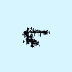 C[C@@H](O)[C@H](NC(=O)[C@H](Cc1c[nH]c2ccccc12)NC(=O)[C@H](CO)NC(=O)[C@H](Cc1c[nH]c2ccccc12)NC(=O)[C@@H]1CCCN1C(=O)[C@H](Cc1c[nH]cn1)NC(=O)[C@H](Cc1ccccc1)NC(=O)[C@@H](N)Cc1ccccc1)C(=O)N[C@@H](CO)C(=O)N[C@@H](CCCCN)C(=O)NCC(=O)NCC(=O)NCC(=O)N[C@@H](CCCCNC(=O)CCCC[C@@H]1SC[C@@H]2NC(=O)N[C@@H]21)C(N)=O